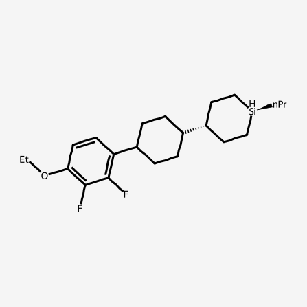 CCC[Si@H]1CC[C@H](C2CCC(c3ccc(OCC)c(F)c3F)CC2)CC1